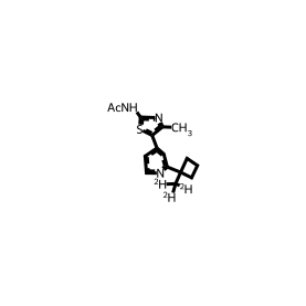 [2H]C([2H])([2H])C1(c2cc(-c3sc(NC(C)=O)nc3C)ccn2)CCC1